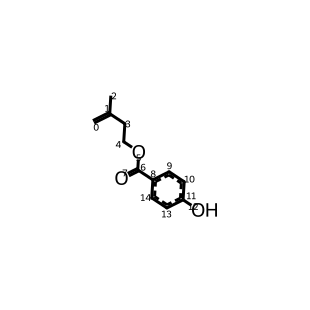 C=C(C)CCOC(=O)c1ccc(O)cc1